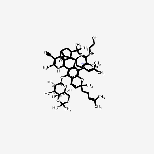 CC(C)=CCCC1(C)C=Cc2c(c(CC=C(C)C)c3c(c2O[C@H]2O[C@H]4COC(C)(C)O[C@@H]4[C@@H](O)[C@@H]2O)C2=C4C(C(C#N)=C(N)N2)C2CC5C(C)(C)OC(C/C=C(/C)C(=O)NCCO)(C2=O)C45O3)O1